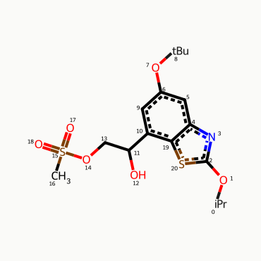 CC(C)Oc1nc2cc(OC(C)(C)C)cc(C(O)COS(C)(=O)=O)c2s1